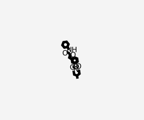 CC1CCN(S(=O)(=O)c2ccc3oc(C(=O)NC4CCCCC4)cc3c2)CC1